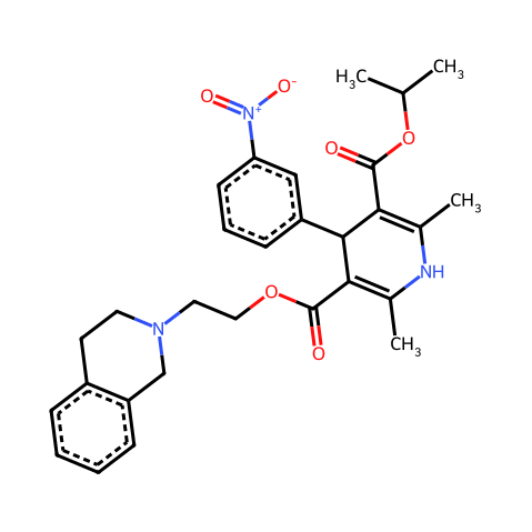 CC1=C(C(=O)OCCN2CCc3ccccc3C2)C(c2cccc([N+](=O)[O-])c2)C(C(=O)OC(C)C)=C(C)N1